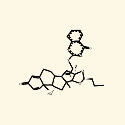 CCC[C@@H]1O[C@@H]2CC3C4CCC5=CC(=O)C=CC5(C)C4[C@@H](O)CC3(C)[C@]2(C(=O)CSc2nc3ccccc3c(=O)[nH]2)O1